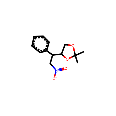 CC1(C)OCC(C(C[N+](=O)[O-])c2ccccc2)O1